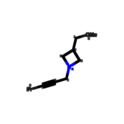 COCC1CN(CC#CC(C)C)C1